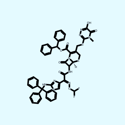 Cn1c(SCC2=C(C(=O)OC(c3ccccc3)c3ccccc3)N3C(=O)C(NC(=O)C(=NOC(F)F)c4csc(NC(c5ccccc5)(c5ccccc5)c5ccccc5)n4)[C@@H]3SC2)nnc(O)c1=O